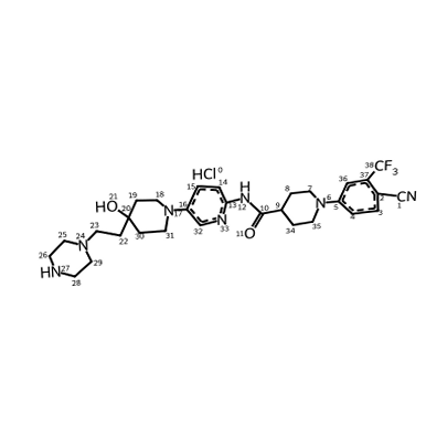 Cl.N#Cc1ccc(N2CCC(C(=O)Nc3ccc(N4CCC(O)(CCN5CCNCC5)CC4)cn3)CC2)cc1C(F)(F)F